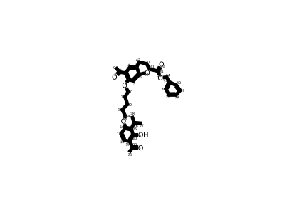 CC(=O)c1cc2c(cc1OCCCCCOc1ccc(C(C)=O)c(O)c1C(C)C)OC(C(=O)OCc1ccccc1)CC2